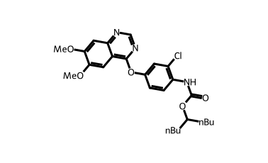 CCCCC(CCCC)OC(=O)Nc1ccc(Oc2ncnc3cc(OC)c(OC)cc23)cc1Cl